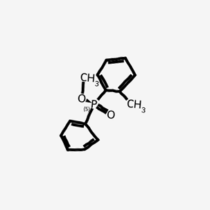 CO[P@@](=O)(c1ccccc1)c1ccccc1C